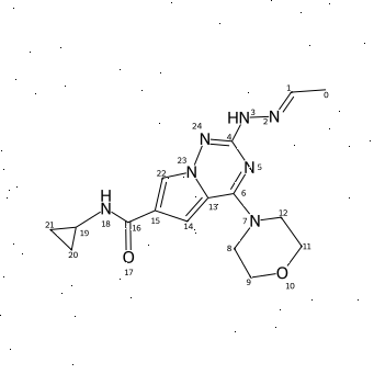 C/C=N/Nc1nc(N2CCOCC2)c2cc(C(=O)NC3CC3)cn2n1